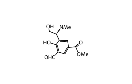 CN[C@H](CO)c1cc(C(=O)OC)cc(C=O)c1O